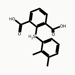 Cc1cccc([SiH2]c2c(C(=O)O)cccc2C(=O)O)c1C